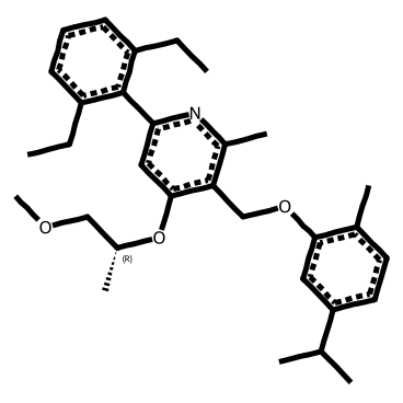 CCc1cccc(CC)c1-c1cc(O[C@H](C)COC)c(COc2cc(C(C)C)ccc2C)c(C)n1